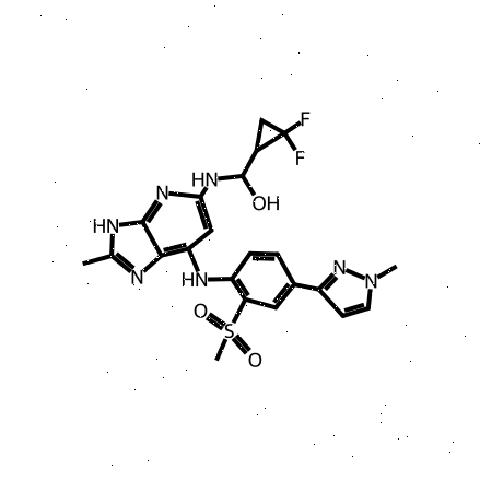 Cc1nc2c(Nc3ccc(-c4ccn(C)n4)cc3S(C)(=O)=O)cc(NC(O)C3CC3(F)F)nc2[nH]1